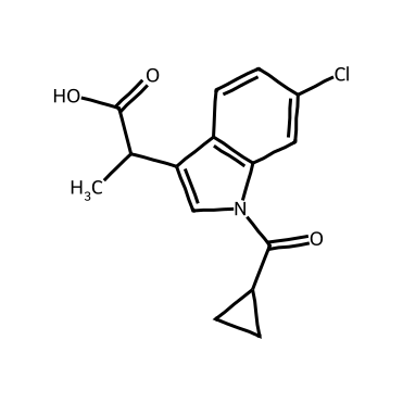 CC(C(=O)O)c1cn(C(=O)C2CC2)c2cc(Cl)ccc12